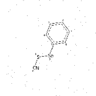 N#CS[Se]c1ccccc1